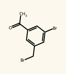 CC(=O)c1cc(Br)cc(CBr)c1